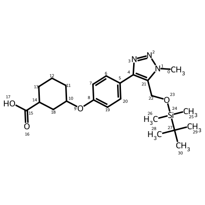 Cn1nnc(-c2ccc(OC3CCCC(C(=O)O)C3)cc2)c1CO[Si](C)(C)C(C)(C)C